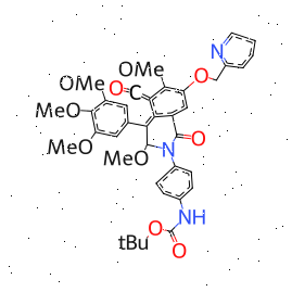 COc1cc(C2=c3c(cc(OCc4ccccn4)c(OC)c3=C=O)C(=O)N(c3ccc(NC(=O)OC(C)(C)C)cc3)C2OC)cc(OC)c1OC